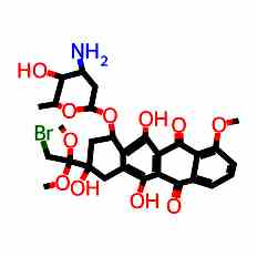 COc1cccc2c1C(=O)c1c(O)c3c(c(O)c1C2=O)CC(O)(C(CBr)(OC)OC)CC3OC1CC(N)C(O)C(C)O1